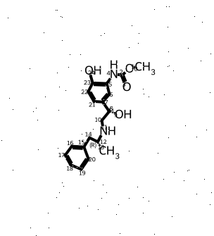 COC(=O)Nc1cc([C@H](O)CN[C@H](C)Cc2ccccc2)ccc1O